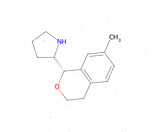 Cc1ccc2c(c1)[C@@H](C1CCCN1)OCC2